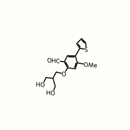 COc1cc(OCC(CO)CO)c(C=O)cc1-c1cccs1